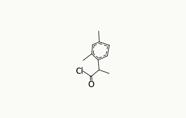 Cc1ccc(C(C)C(=O)Cl)c(C)c1